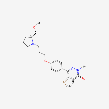 CCOC[C@@H]1CCCN1CCCOc1ccc(-c2nn(C(C)C)c(=O)c3ccsc23)cc1